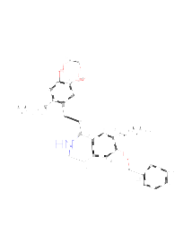 COc1cc2c(cc1/C=C/C1NCCc3cc(OCc4ccccc4)c(OC)cc31)OCCO2